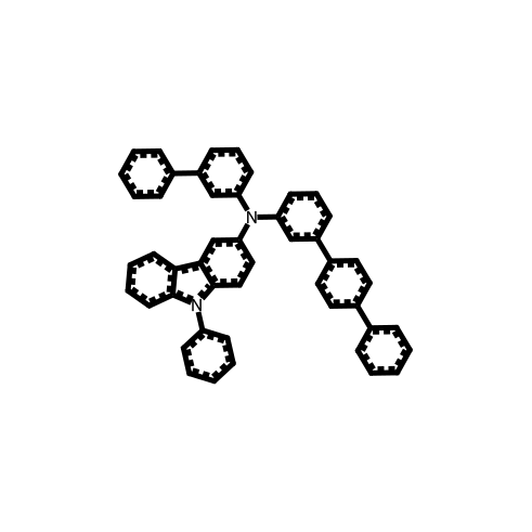 c1ccc(-c2ccc(-c3cccc(N(c4cccc(-c5ccccc5)c4)c4ccc5c(c4)c4ccccc4n5-c4ccccc4)c3)cc2)cc1